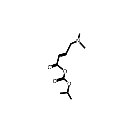 CC(C)OC(=O)OC(=O)/C=C/CN(C)C